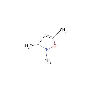 CC1=CC(C)N(C)O1